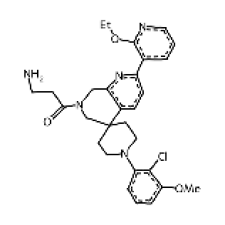 CCOc1ncccc1-c1ccc2c(n1)CN(C(=O)CCN)CC21CCN(c2cccc(OC)c2Cl)CC1